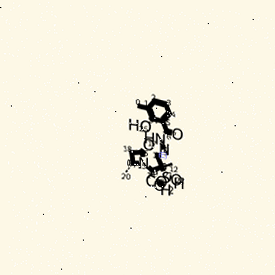 Cc1cccc(C(=O)N/N=C/[C@@](C)([C@H](C(=O)O)N2C(=O)C[C@H]2C)[SH](=O)=O)c1O